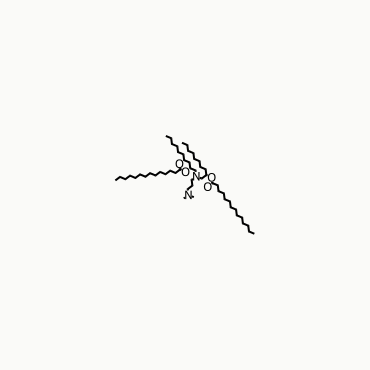 CCCCCCCCCCCCCC(=O)OC(CCCCCCCC)CN(CCCN(C)C)CC(CCCCCCCC)OC(=O)CCCCCCCCCCCCC